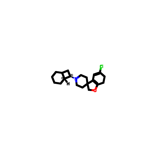 ClC1=CC2=C(CC1)OCC21CCN([C@H]2CC3CCCC[C@H]32)CC1